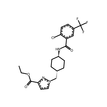 CCOC(=O)c1ccn(C[C@H]2CC[C@H](NC(=O)c3cc(C(F)(F)F)ccc3Cl)CC2)n1